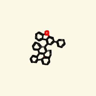 c1ccc(-c2cc(-c3c4ccccc4c(-c4ccccc4-c4ccccc4)c4ccccc34)c3c(c2)oc2ccccc23)cc1